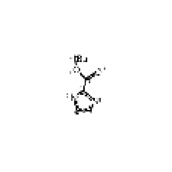 CC(C)(C)OC(=O)c1n[c]cs1